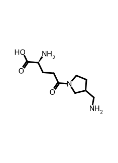 NCC1CCN(C(=O)CC[C@H](N)C(=O)O)C1